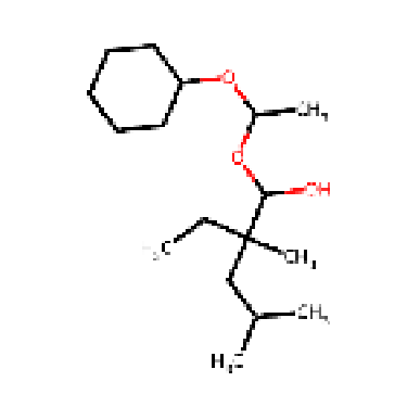 CCC(C)(CC(C)C)C(O)OC(C)OC1CCCCC1